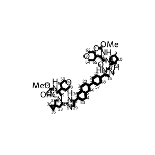 COC(=O)N[C@H](C(=O)N1C2CC[C@@H](C2)[C@H]1c1ncc(-c2ccc(-c3ccc4cc(-c5cnc([C@@H]6CC7(CC7)CN6C[C@](C=O)(NC(=O)OC)C6CCOCC6)[nH]5)ccc4c3)cc2)[nH]1)C1CCOCC1